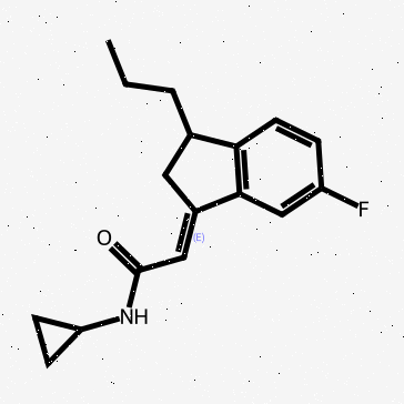 CCCC1C/C(=C\C(=O)NC2CC2)c2cc(F)ccc21